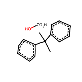 CC(C)(c1ccccc1)c1ccccc1.O=C(O)O